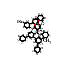 CC(C)(C)c1ccc(N2c3cc4c(cc3B3c5c(cc(-c6ccccc6)cc52)-c2cc(-c5ccccc5)cc5c2N3C2(C)CCCCC52C)oc2ccccc24)c(-c2ccccc2)c1